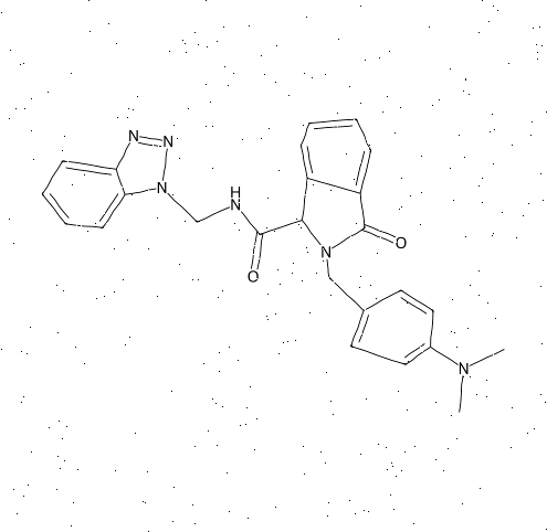 CN(C)c1ccc(CN2C(=O)c3ccccc3C2C(=O)NCn2nnc3ccccc32)cc1